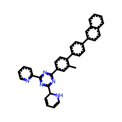 Cc1cc(-c2nc(-c3ccccn3)nc(C3C=CC=CN3)n2)ccc1-c1ccc(-c2ccc3ccccc3c2)cc1